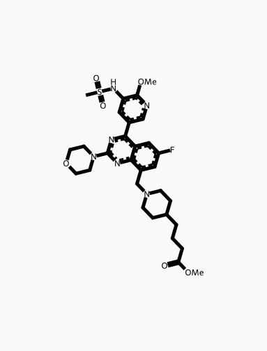 COC(=O)CCCC1CCN(Cc2cc(F)cc3c(-c4cnc(OC)c(NS(C)(=O)=O)c4)nc(N4CCOCC4)nc23)CC1